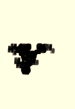 COC(=O)/C=C/CO[C@H]1C[C@H]2Cc3c([nH]c4ccccc34)[C@]2(C)[C@@]2(C)CC[C@@]34O[C@@H](C(=O)C=C3[C@]12O)C(C)(C)O4